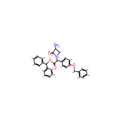 NC1CN(C(C(=O)OC(c2ccccc2)c2ccccc2)c2ccc(OCc3ccccc3)cc2)C1=O